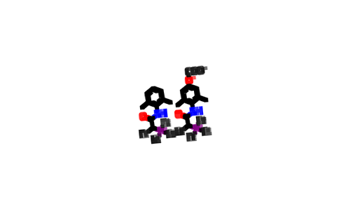 CCC(C(=O)Nc1c(C)cccc1C)[P+](CC)(CC)CC.CCC(C(=O)Nc1c(C)cccc1C)[P+](CC)(CC)CC.O=C([O-])[O-]